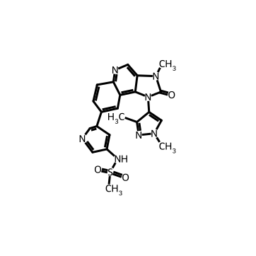 Cc1nn(C)cc1-n1c(=O)n(C)c2cnc3ccc(-c4cncc(NS(C)(=O)=O)c4)cc3c21